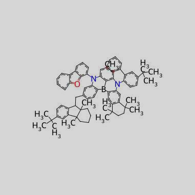 Cc1cc2c3c(c1)N(c1cccc4c1oc1ccccc14)c1cc(CC4c5ccc(C(C)(C)C)cc5C5(C)CCCCC45C)ccc1B3c1cc3c(cc1N2c1ccc(C(C)(C)C)cc1-c1ccccc1)C(C)(C)CCC3(C)C